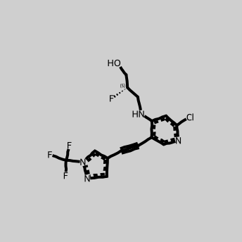 OC[C@@H](F)CNc1cc(Cl)ncc1C#Cc1cnn(C(F)(F)F)c1